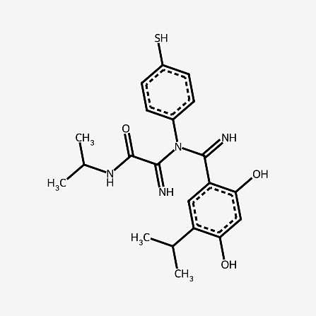 CC(C)NC(=O)C(=N)N(C(=N)c1cc(C(C)C)c(O)cc1O)c1ccc(S)cc1